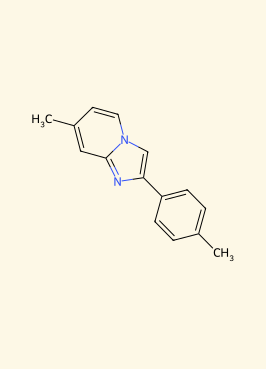 Cc1ccc(-c2cn3ccc(C)cc3n2)cc1